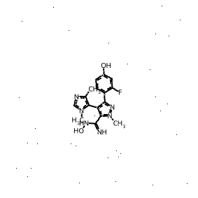 Cc1ncn(C)c1-c1c(-c2ccc(O)cc2F)nn(C)c1C(=N)NO